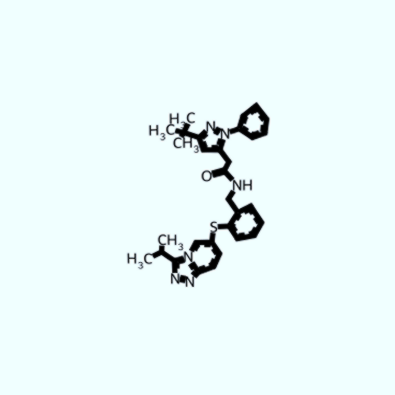 CC(C)c1nnc2ccc(Sc3ccccc3CNC(=O)Cc3cc(C(C)(C)C)nn3-c3ccccc3)cn12